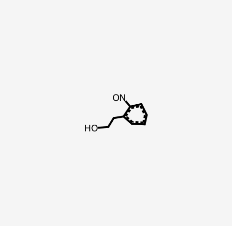 O=Nc1ccccc1CCO